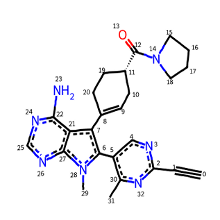 C#Cc1ncc(-c2c(C3=CC[C@@H](C(=O)N4CCCC4)CC3)c3c(N)ncnc3n2C)c(C)n1